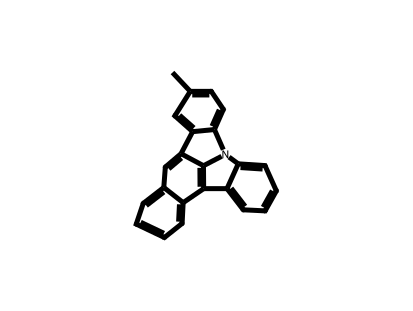 Cc1ccc2c(c1)c1cc3ccccc3c3c4ccccc4n2c13